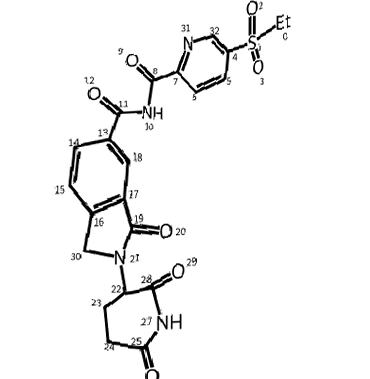 CCS(=O)(=O)c1ccc(C(=O)NC(=O)c2ccc3c(c2)C(=O)N(C2CCC(=O)NC2=O)C3)nc1